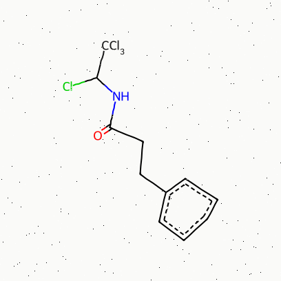 O=C(CCc1ccccc1)NC(Cl)C(Cl)(Cl)Cl